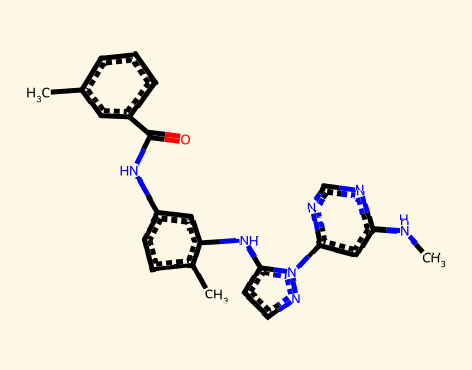 CNc1cc(-n2nccc2Nc2cc(NC(=O)c3cccc(C)c3)ccc2C)ncn1